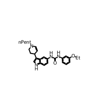 CCCCCN1C=CC(c2c[nH]c3ccc(NC(=O)Nc4cccc(OCC)c4)cc23)CC1